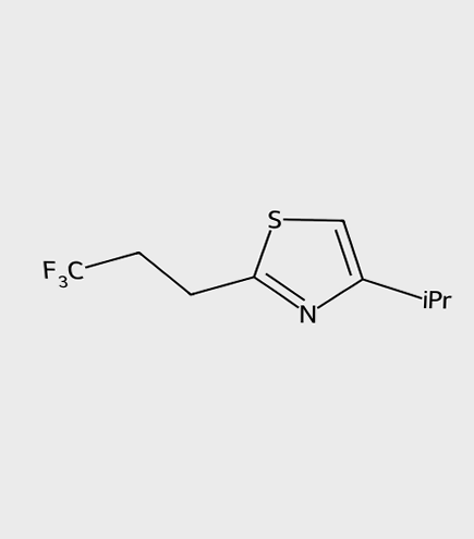 CC(C)c1csc(CCC(F)(F)F)n1